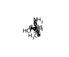 CC1CCCN1c1ccc2c(c1)Sc1cc(C(F)(F)F)cc(NC3CCN(CCN)CC3)c1N2.Cl